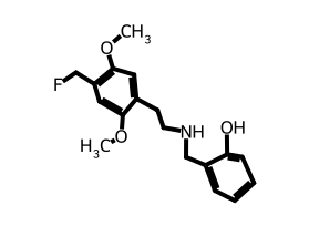 COc1cc(CCNCc2ccccc2O)c(OC)cc1CF